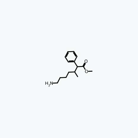 COC(=O)C(c1ccccc1)C(C)CCCCN